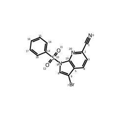 N#Cc1ccc2c(Br)cn(S(=O)(=O)c3ccccc3)c2n1